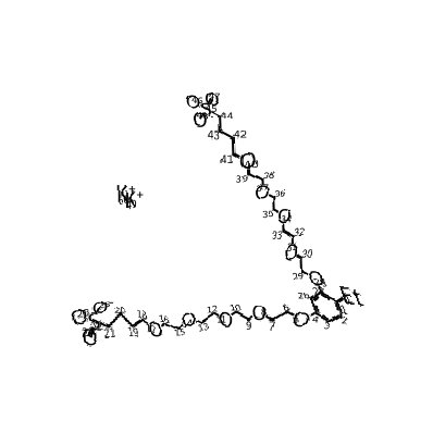 CCc1ccc(OCCOCCOCCOCCOCCCCS(=O)(=O)[O-])cc1OCCOCCOCCOCCOCCCCS(=O)(=O)[O-].[K+].[K+]